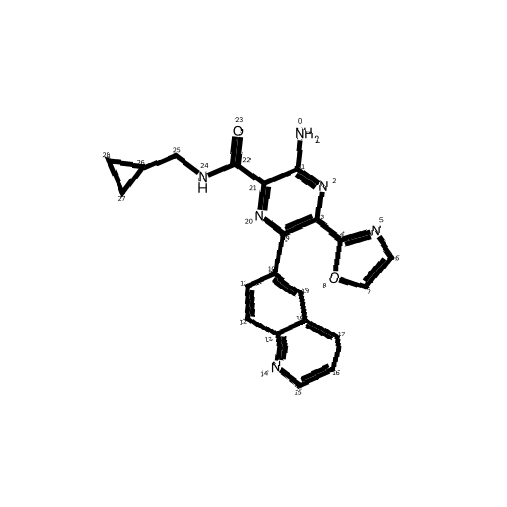 Nc1nc(-c2ncco2)c(-c2ccc3ncccc3c2)nc1C(=O)NCC1CC1